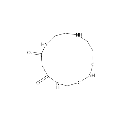 O=C1CC(=O)NCCNCCCNCCN1